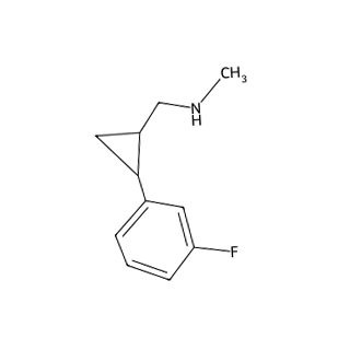 CNCC1CC1c1cccc(F)c1